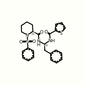 O=C(N[C@@H](Cc1ccccc1)NC(=O)[C@@H]1CCCCN1S(=O)(=O)c1ccccc1)c1cccs1